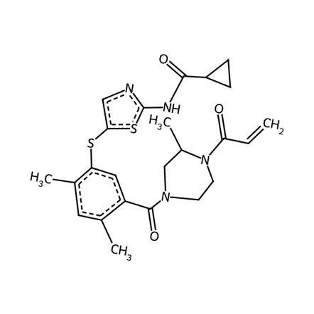 C=CC(=O)N1CCN(C(=O)c2cc(Sc3cnc(NC(=O)C4CC4)s3)c(C)cc2C)CC1C